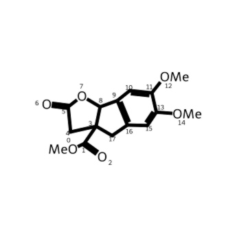 COC(=O)C12CC(=O)OC1c1cc(OC)c(OC)cc1C2